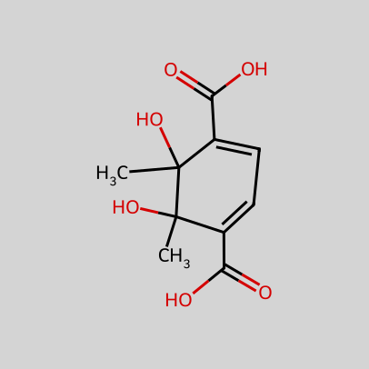 CC1(O)C(C(=O)O)=CC=C(C(=O)O)C1(C)O